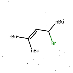 CCCCC(=CC(Br)CCCC)CCCC